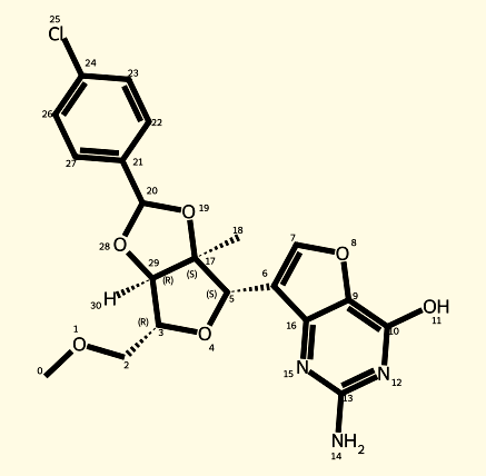 COC[C@H]1O[C@@H](c2coc3c(O)nc(N)nc23)[C@]2(C)OC(c3ccc(Cl)cc3)O[C@H]12